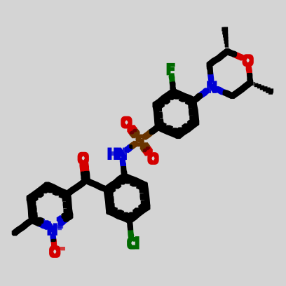 Cc1ccc(C(=O)c2cc(Cl)ccc2NS(=O)(=O)c2ccc(N3C[C@@H](C)O[C@@H](C)C3)c(F)c2)c[n+]1[O-]